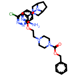 Nc1nnc(Cl)cc1N1CC2CCC(C1)N2c1ccnc(OCCN2CCN(C(=O)OCc3ccccc3)CC2)c1